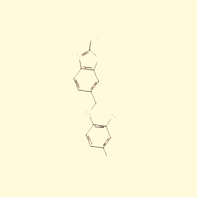 CSc1nc2ccc(CNc3ccc(Br)cc3N)cc2s1